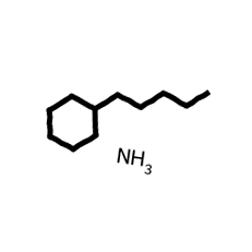 CCCCCC1CCCCC1.N